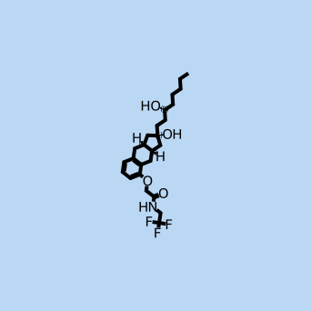 CCCCC[C@@H](O)CC[C@]1(O)C[C@H]2Cc3cccc(OCC(=O)NCC(F)(F)F)c3C[C@H]2C1